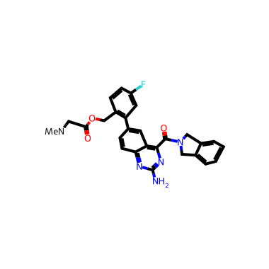 CNCC(=O)OCc1ccc(F)cc1-c1ccc2nc(N)nc(C(=O)N3Cc4ccccc4C3)c2c1